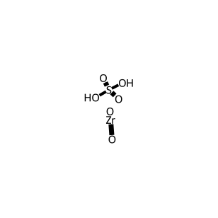 O=S(=O)(O)O.[O]=[Zr]=[O]